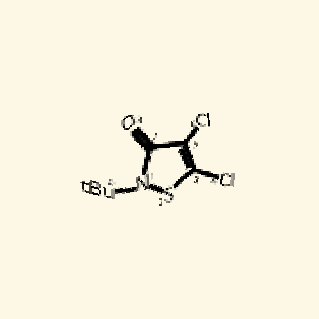 CC(C)(C)n1sc(Cl)c(Cl)c1=O